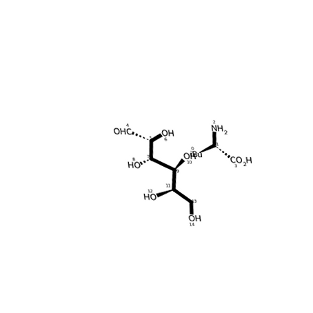 CC[C@H](C)[C@H](N)C(=O)O.O=C[C@H](O)[C@@H](O)[C@@H](O)[C@H](O)CO